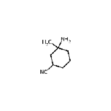 CC1(N)CCCC(C#N)C1